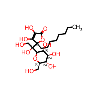 CCCCCCCC[C@]1([C@@](O)(CO)C2O[C@H](CO)[C@@H](O)[C@H](O)[C@H]2O)OC(=O)C(O)=C1O